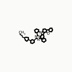 CCCCc1ccc(-c2cccc(-c3nc(-c4ccccc4)nc(-c4ccccc4-n4c5ccccc5c5c6oc7ccccc7c6ccc54)n3)c2)cc1